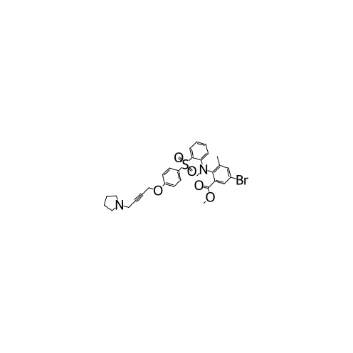 COC(=O)c1cc(Br)cc(C)c1N(C)c1ccccc1S(=O)(=O)c1ccc(OCC#CCN2CCCC2)cc1